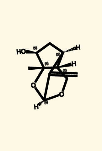 C=C1[C@H]2OC[C@H]3[C@@H]1C[C@H](O)[C@@]3(C)O2